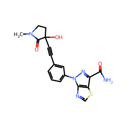 CN1CCC(O)(C#Cc2cccc(-n3nc(C(N)=O)c4scnc43)c2)C1=O